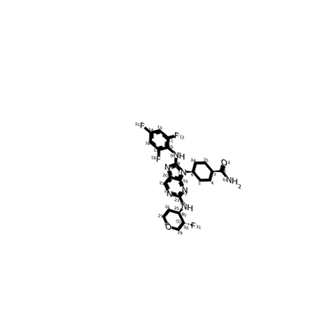 NC(=O)[C@H]1CC[C@@H](n2c(Nc3c(F)cc(F)cc3F)nc3cnc(N[C@@H]4CCOC[C@H]4F)nc32)CC1